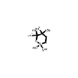 CCCCC1(CCCC)C[CH2][Sn]([O]C(C)=O)([O]C(C)=O)[O]C1(CCCC)CCCC